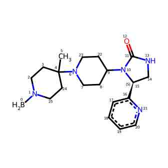 BN1CCC(C)(N2CCC(N3C(=O)NC[C@H]3c3ccccn3)CC2)CC1